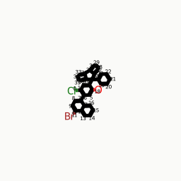 Clc1cc2c(cc1-c1ccc(Br)c3ccccc13)Oc1ccccc1C21c2ccccc2-c2ccccc21